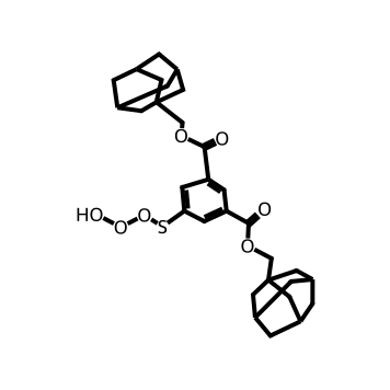 O=C(OCC12CC3CC(CC(C3)C1)C2)c1cc(SOOO)cc(C(=O)OCC23CC4CC(CC(C4)C2)C3)c1